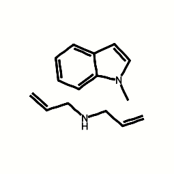 C=CCNCC=C.Cn1ccc2ccccc21